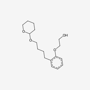 OCCOc1ccccc1CCCCOC1CCCCO1